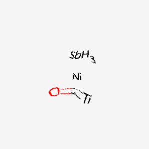 [Ni].[O]=[Ti].[SbH3]